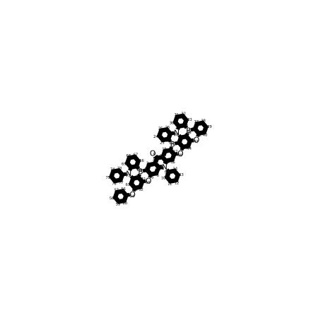 O=c1c2cc3c(cc2n(-c2ccccc2)c2cc4c(cc12)B1c2ccccc2N2c5ccccc5B5c6ccccc6Oc6cc(c1c2c65)O4)Oc1cc(Oc2ccccc2)cc2c1B3c1ccccc1N2c1ccccc1